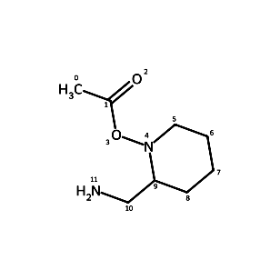 CC(=O)ON1CCCCC1CN